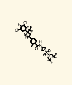 Cc1cc(C2=NOC(c3cc(Cl)c(F)c(Cl)c3)(C(F)(F)F)C2)ccc1C(=O)NC1CN(S(=O)(=O)N(CC(F)(F)F)CC(F)(F)F)C1